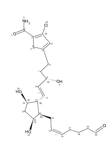 NC(=O)c1sc(CC[C@H](O)/C=C/[C@@H]2[C@@H](C/C=C\CCC[C]=O)[C@@H](O)C[C@H]2O)cc1Cl